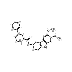 COc1cc2[nH]c3c(c2cc1OC)CC(CC(=O)C1CC(c2ccccc2)=CCN1)CC3